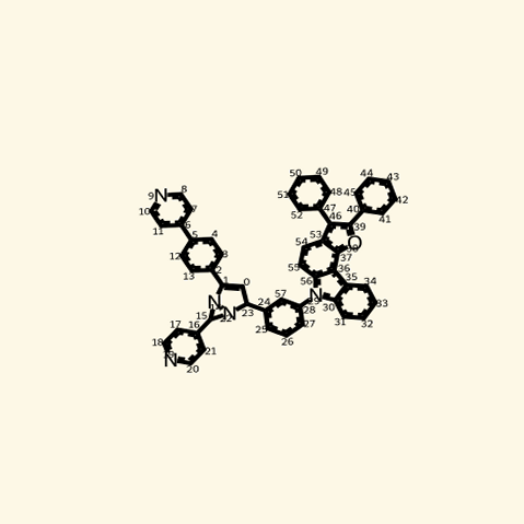 C1=C(c2ccc(-c3ccncc3)cc2)N2C(c3ccncc3)N2C1c1cccc(-n2c3ccccc3c3c4oc(-c5ccccc5)c(-c5ccccc5)c4ccc32)c1